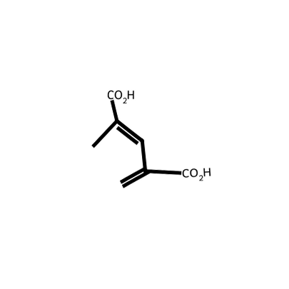 C=C(C=C(C)C(=O)O)C(=O)O